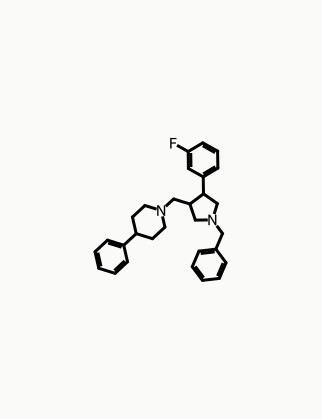 Fc1cccc(C2CN(Cc3ccccc3)CC2CN2CCC(c3ccccc3)CC2)c1